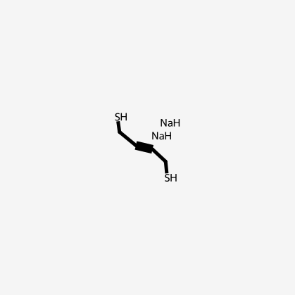 SCC#CCS.[NaH].[NaH]